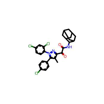 Cc1c(C(=O)C(=O)NC2C3CC4CC(C3)CC2C4)nn(-c2ccc(Cl)cc2Cl)c1-c1ccc(Cl)cc1